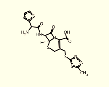 Cc1nnc(SCC2=C(C(=O)O)N3C(=O)C(NC(=O)C(N)c4cccs4)[C@@H]3SC2)s1